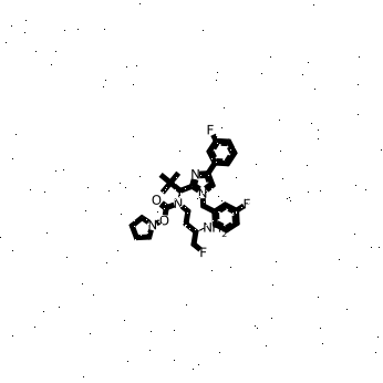 CC(C)(C)[C@H](c1nc(-c2cccc(F)c2)cn1Cc1cccc(F)c1)N(CC[C@H](N)CF)C(=O)ON1CCCC1